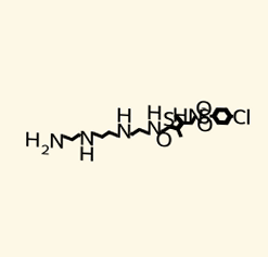 Cc1c(CNS(=O)(=O)c2ccc(Cl)cc2)csc1C(=O)NCCCNCCCCNCCCN